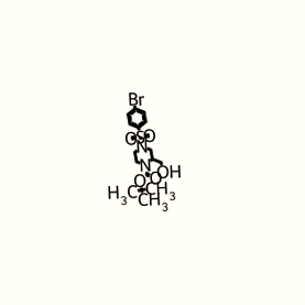 CC(C)(C)OC(=O)N1CCN(S(=O)(=O)c2ccc(Br)cc2)CC1CO